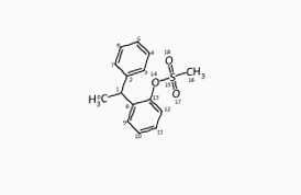 CC(c1ccccc1)c1ccccc1OS(C)(=O)=O